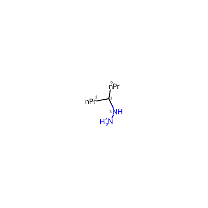 CCCC(CCC)NN